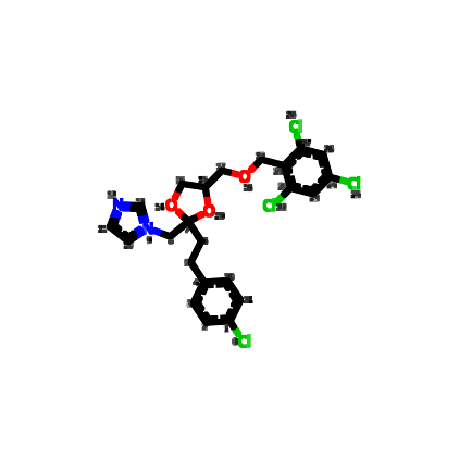 Clc1ccc(CCC2(Cn3ccnc3)OCC(COCc3c(Cl)cc(Cl)cc3Cl)O2)cc1